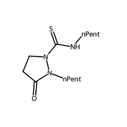 CCCCCNC(=S)N1CCC(=O)N1CCCCC